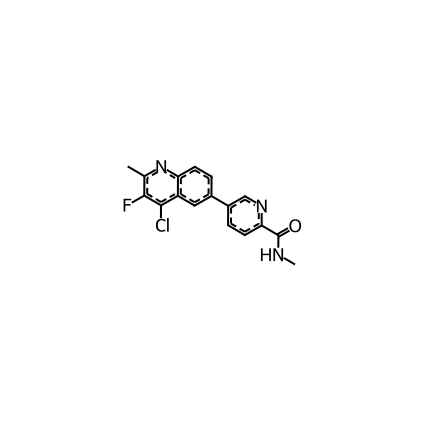 CNC(=O)c1ccc(-c2ccc3nc(C)c(F)c(Cl)c3c2)cn1